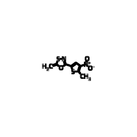 C=C1OC(c2cc([N+](=O)[O-])c(C)s2)=NS1